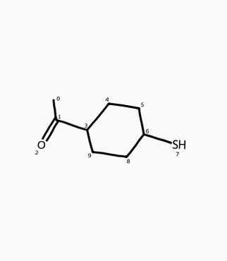 CC(=O)C1CCC(S)CC1